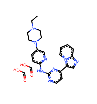 CCN1CCN(c2ccc(Nc3nccc(-c4cnc5ccccn45)n3)nc2)CC1.O=CO.O=CO